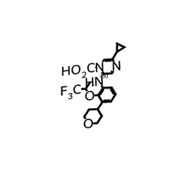 CC(Oc1c(N[C@@H]2C=NC(C3CC3)=CN2C(=O)O)cccc1C1CCOCC1)C(F)(F)F